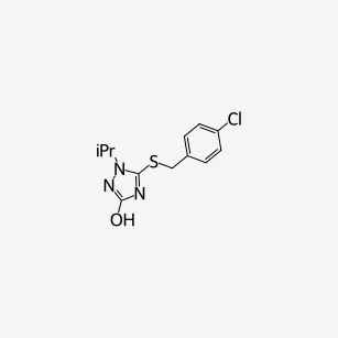 CC(C)n1nc(O)nc1SCc1ccc(Cl)cc1